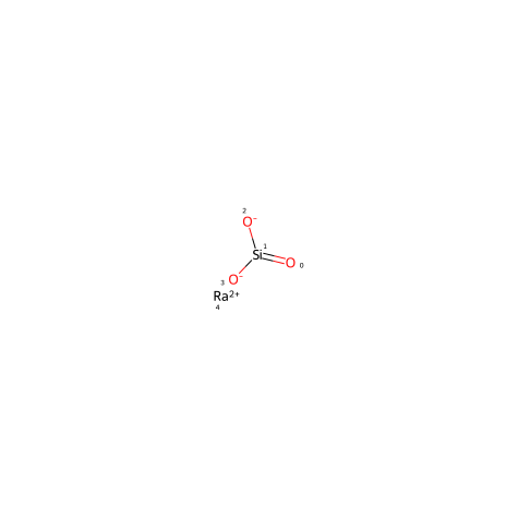 O=[Si]([O-])[O-].[Ra+2]